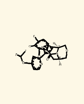 O=C(c1ccc(F)c(Cl)c1Cl)N1[C@H]2COC[C@@H]1c1nnc(-c3cc(OC(F)F)ccn3)n1C2